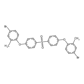 Cc1cc(Br)ccc1Oc1ccc(S(=O)(=O)c2ccc(Oc3ccc(Br)cc3C)cc2)cc1